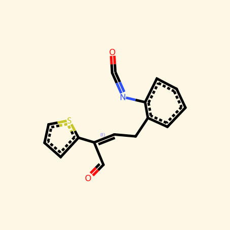 O=C=Nc1ccccc1C/C=C(\C=O)c1cccs1